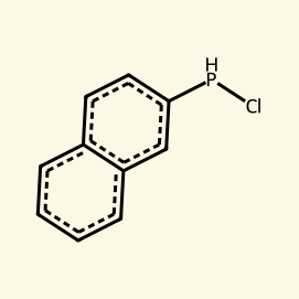 ClPc1ccc2ccccc2c1